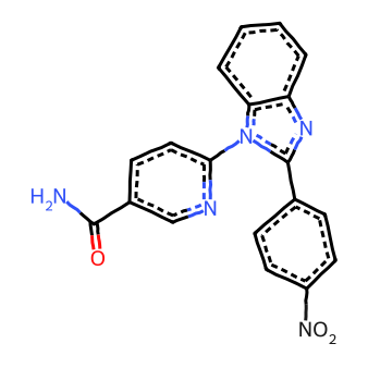 NC(=O)c1ccc(-n2c(-c3ccc([N+](=O)[O-])cc3)nc3ccccc32)nc1